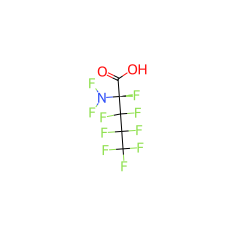 O=C(O)[C@@](F)(N(F)F)C(F)(F)C(F)(F)C(F)(F)F